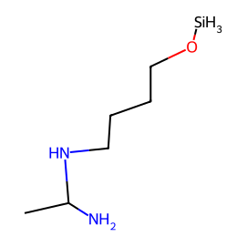 CC(N)NCCCCO[SiH3]